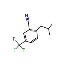 CC(C)Cc1ccc(C(F)(F)F)cc1C#N